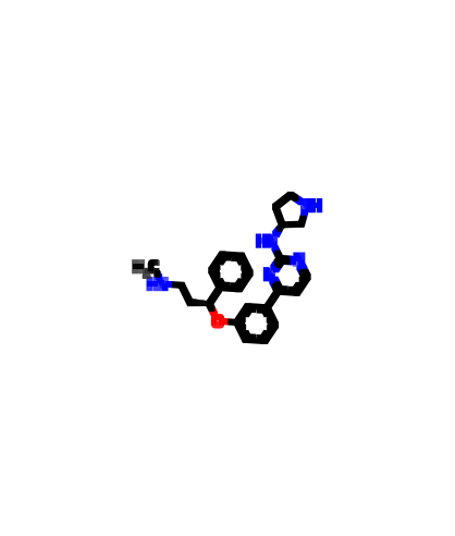 CNCC[C@H](Oc1cccc(-c2ccnc(N[C@H]3CCNC3)n2)c1)c1ccccc1